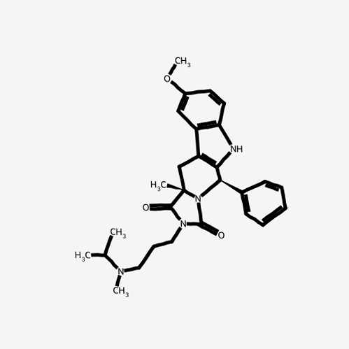 COc1ccc2[nH]c3c(c2c1)C[C@@]1(C)C(=O)N(CCCN(C)C(C)C)C(=O)N1[C@@H]3c1ccccc1